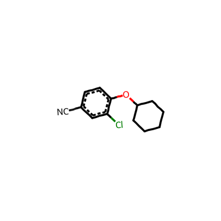 N#Cc1ccc(OC2CCCCC2)c(Cl)c1